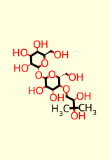 CC(C)(O)[C@@H](O)CO[C@H]1[C@H](O)[C@@H](O)[C@@H](O[C@H]2O[C@H](CO)[C@@H](O)[C@H](O)[C@H]2O)O[C@@H]1CO